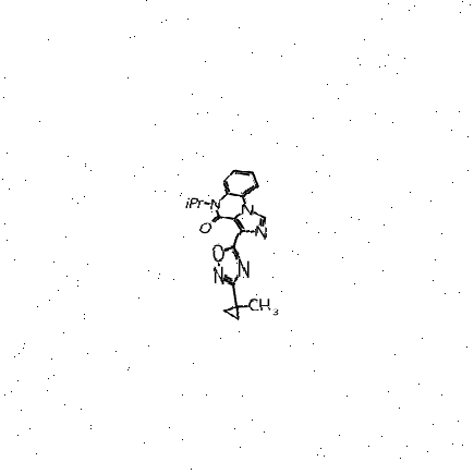 CC(C)n1c(=O)c2c(-c3nc(C4(C)CC4)no3)ncn2c2ccccc21